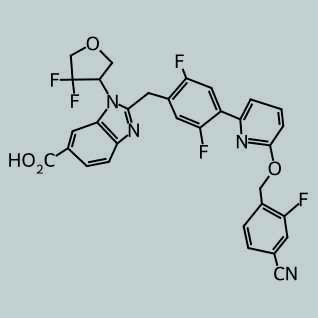 N#Cc1ccc(COc2cccc(-c3cc(F)c(Cc4nc5ccc(C(=O)O)cc5n4C4COCC4(F)F)cc3F)n2)c(F)c1